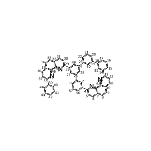 c1ccc(-c2ccc3ccc4ccc(-c5cccc(-c6cccc(-c7cccc(-c8ccc9ccc%10ccc(-c%11ccccc%11)nc%10c9n8)c7)c6)c5)nc4c3n2)cc1